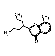 CCCC(CCC)c1cc(=O)c2cccc(C)c2o1